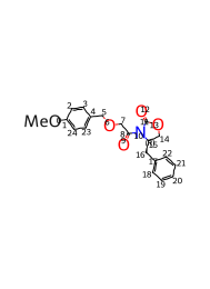 COc1ccc(COCC(=O)N2C(=O)OC[C@H]2Cc2ccccc2)cc1